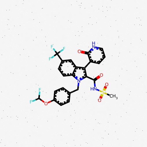 CS(=O)(=O)NC(=O)c1c(-c2ccc[nH]c2=O)c2cc(C(F)(F)F)ccc2n1Cc1ccc(OC(F)F)cc1